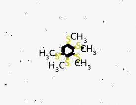 CSc1[c]c(SC)c(SC)c(SC)c1SC